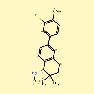 COc1ccc(-c2ccc3c(c2)CCC(C)(C)[C@@H]3NC(=O)O)cc1F